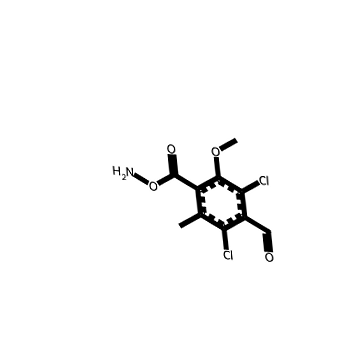 COc1c(Cl)c(C=O)c(Cl)c(C)c1C(=O)ON